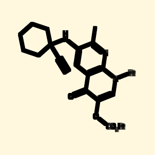 C#CC1(Nc2cc3c(=O)c(OC(=O)OCC)cn(CC)c3nc2C)CCCCC1